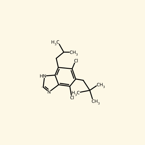 CC(C)Cc1c(Cl)c(CC(C)(C)C)c(Cl)c2n[c][nH]c12